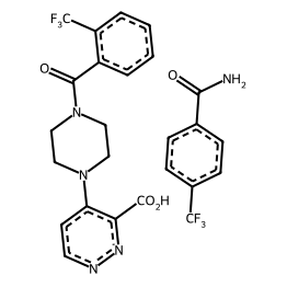 NC(=O)c1ccc(C(F)(F)F)cc1.O=C(O)c1nnccc1N1CCN(C(=O)c2ccccc2C(F)(F)F)CC1